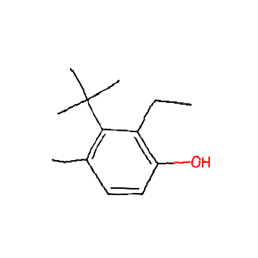 CCc1c(O)ccc(C)c1C(C)(C)C